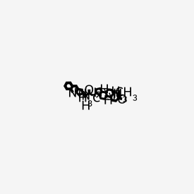 CN1C(=O)C=C[C@]2(C)[C@H]3CC[C@]4(C)[C@@H](CC(=O)NN5Cc6cc7ccccc7nc6C5)CC[C@H]4[C@@H]3CC[C@@H]12